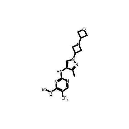 CCNc1nc(Nc2cn(C3CN(C4COC4)C3)nc2C)ncc1C(F)(F)F